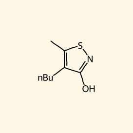 CCCCc1c(O)nsc1C